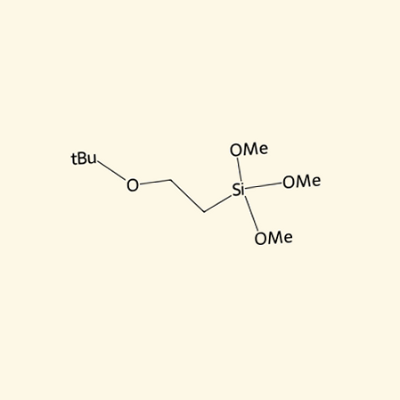 CO[Si](CCOC(C)(C)C)(OC)OC